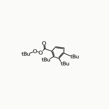 CC(C)(C)OOC(=O)c1ccc(C(C)(C)C)c(C(C)(C)C)c1C(C)(C)C